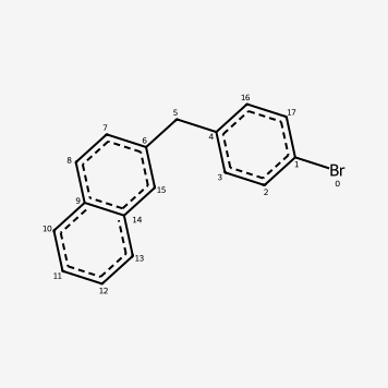 Brc1ccc(Cc2ccc3ccccc3c2)cc1